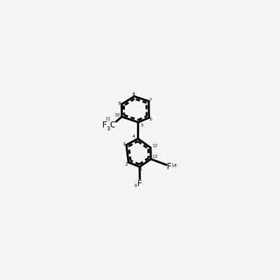 Fc1ccc(-c2cc[c]cc2C(F)(F)F)cc1F